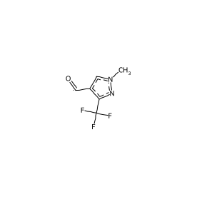 Cn1cc([C]=O)c(C(F)(F)F)n1